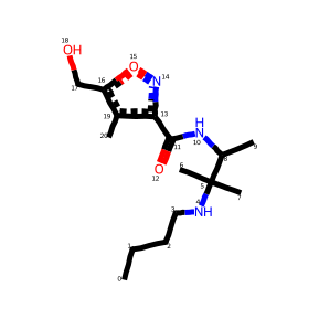 CCCCNC(C)(C)C(C)NC(=O)c1noc(CO)c1C